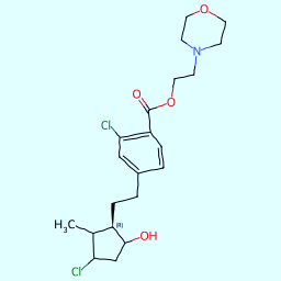 CC1C(Cl)CC(O)[C@@H]1CCc1ccc(C(=O)OCCN2CCOCC2)c(Cl)c1